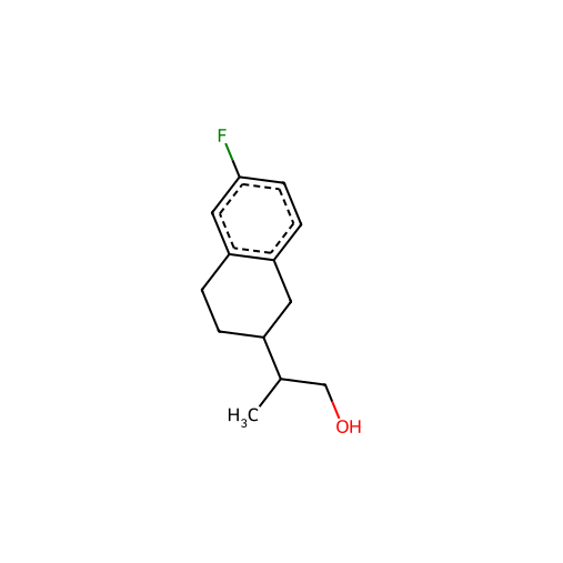 CC(CO)C1CCc2cc(F)ccc2C1